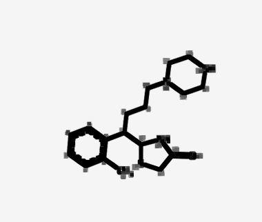 Cc1ccccc1C(CCCN1CCNCC1)C1NC(=O)CS1